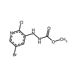 COC(=O)NNc1cc(Br)cnc1Cl